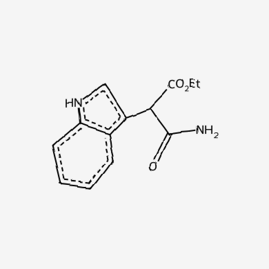 CCOC(=O)C(C(N)=O)c1c[nH]c2ccccc12